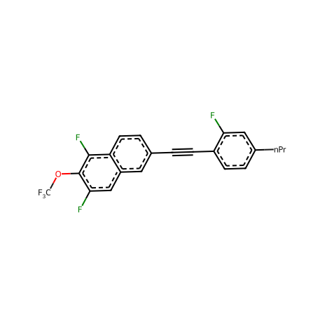 CCCc1ccc(C#Cc2ccc3c(F)c(OC(F)(F)F)c(F)cc3c2)c(F)c1